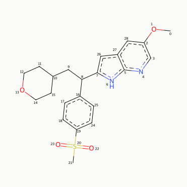 COc1cnc2[nH]c(C(CC3CCOCC3)c3ccc(S(C)(=O)=O)cc3)cc2c1